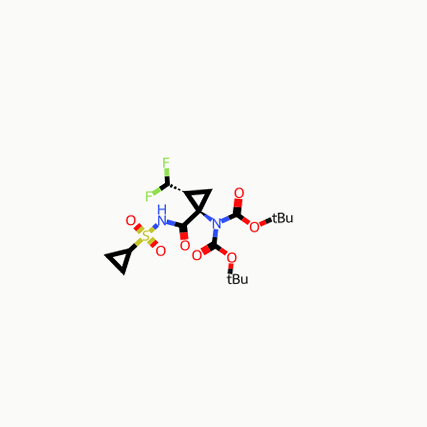 CC(C)(C)OC(=O)N(C(=O)OC(C)(C)C)[C@]1(C(=O)NS(=O)(=O)C2CC2)C[C@H]1C(F)F